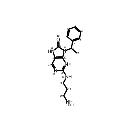 CC(c1ccccc1)n1c(=O)[nH]c2cnc(NCCCN)nc21